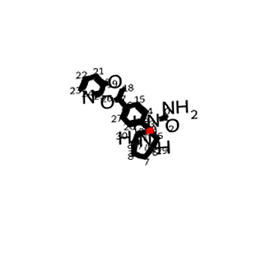 NC(=O)N[C@H]1C[C@H]2CC[C@@H](C1)N2Cc1ccc(C2COc3cccnc3O2)cc1